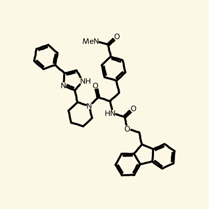 CNC(=O)c1ccc(CC(NC(=O)OCC2c3ccccc3-c3ccccc32)C(=O)N2CCCCC2c2nc(-c3ccccc3)c[nH]2)cc1